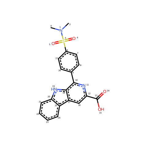 CN(C)S(=O)(=O)c1ccc(-c2nc(C(=O)O)cc3c2[nH]c2ccccc23)cc1